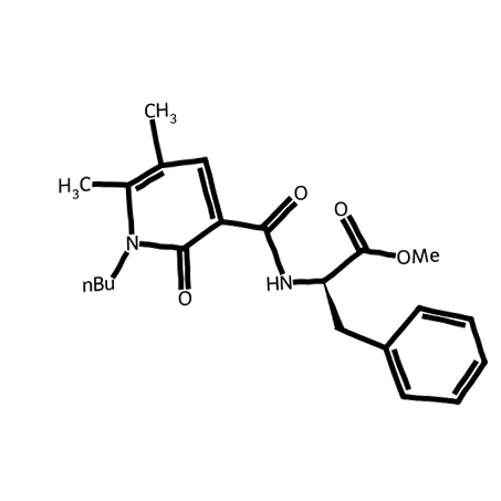 CCCCn1c(C)c(C)cc(C(=O)N[C@H](Cc2ccccc2)C(=O)OC)c1=O